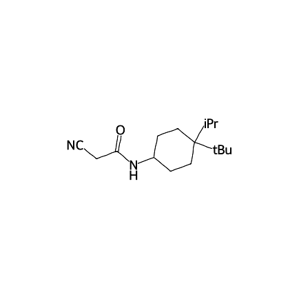 CC(C)C1(C(C)(C)C)CCC(NC(=O)CC#N)CC1